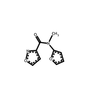 CN(C(=O)c1ccon1)c1ccco1